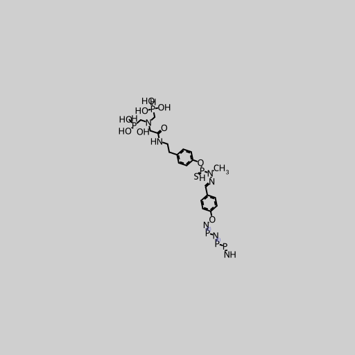 CN(N=Cc1ccc(O/N=P\N=P\P=N)cc1)[PH](=S)Oc1ccc(CCNC(=O)CN(C[PH](O)(O)O)C[PH](O)(O)O)cc1